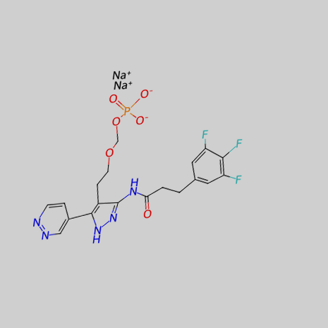 O=C(CCc1cc(F)c(F)c(F)c1)Nc1n[nH]c(-c2ccnnc2)c1CCOCOP(=O)([O-])[O-].[Na+].[Na+]